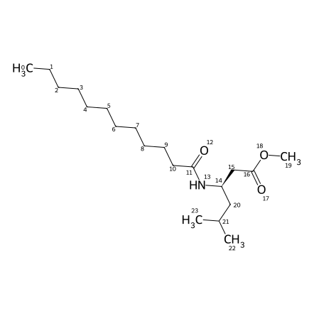 CCCCCCCCCCCC(=O)N[C@@H](CC(=O)OC)CC(C)C